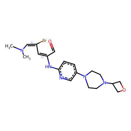 CN(C)/C=C(Br)\C=C(/C=O)Nc1ccc(N2CCN(C3COC3)CC2)cn1